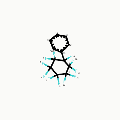 FC1(F)C(F)(F)C(F)(F)C(F)(c2cc[c]cc2)C(F)(F)C1(F)F